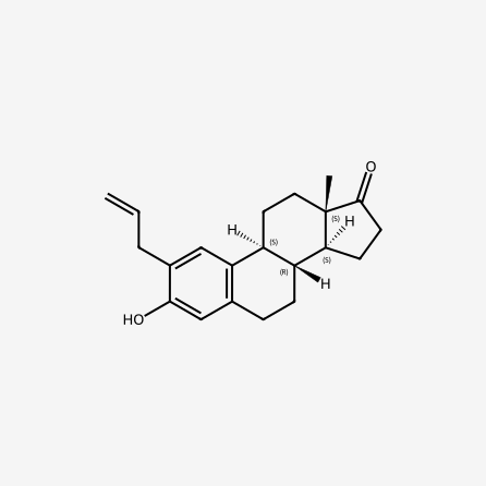 C=CCc1cc2c(cc1O)CC[C@@H]1[C@@H]2CC[C@]2(C)C(=O)CC[C@@H]12